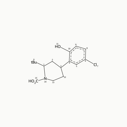 CC(C)(C)C1CC(c2cc(Cl)ccc2O)CCN1C(=O)O